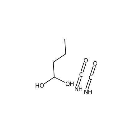 CCCC(O)O.N=C=O.N=C=O